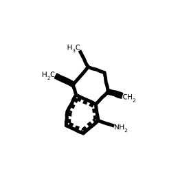 C=C1CC(C)C(=C)c2cccc(N)c21